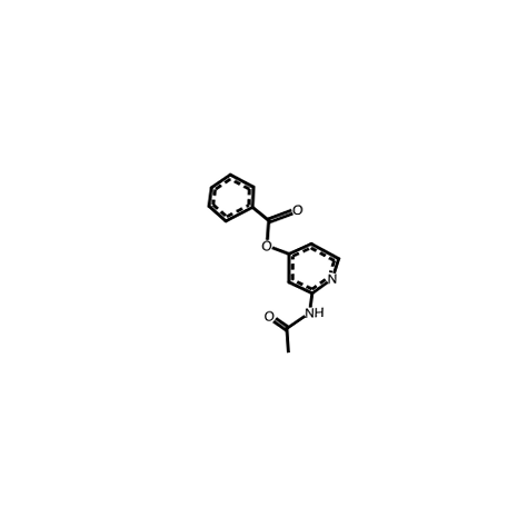 CC(=O)Nc1cc(OC(=O)c2ccccc2)ccn1